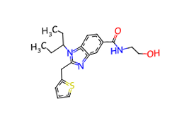 CCC(CC)n1c(Cc2cccs2)nc2cc(C(=O)NCCO)ccc21